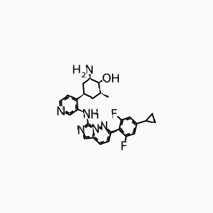 C[C@H]1C[C@@H](c2ccncc2Nc2ncc3ccc(-c4c(F)cc(C5CC5)cc4F)nn23)C[C@@H](N)[C@H]1O